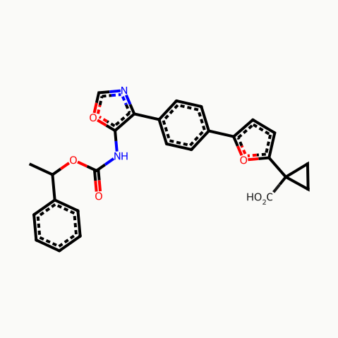 CC(OC(=O)Nc1ocnc1-c1ccc(-c2ccc(C3(C(=O)O)CC3)o2)cc1)c1ccccc1